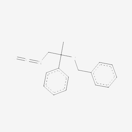 CC(CN=C=O)(OCc1ccccc1)c1ccccc1